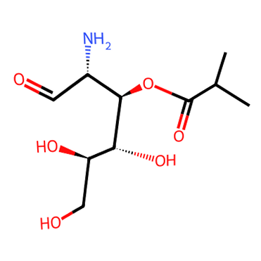 CC(C)C(=O)O[C@@H]([C@H](O)[C@H](O)CO)[C@@H](N)C=O